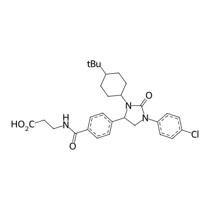 CC(C)(C)C1CCC(N2C(=O)N(c3ccc(Cl)cc3)CC2c2ccc(C(=O)NCCC(=O)O)cc2)CC1